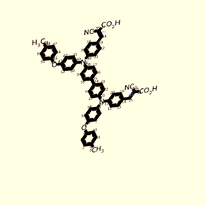 Cc1ccc(Oc2ccc(N(c3ccc(/C=C(\C#N)C(=O)O)cc3)c3ccc(-c4ccc(N(c5ccc(/C=C(\C#N)C(=O)O)cc5)c5ccc(Oc6ccc(C)cc6)cc5)cc4)cc3)cc2)cc1